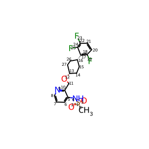 CS(=O)(=O)Nc1cccnc1CO[C@H]1CC[C@@H](c2c(F)ccc(F)c2F)CC1